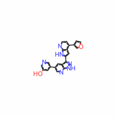 Oc1cncc(-c2cnc3[nH]nc(-c4cc5c(-c6ccoc6)ccnc5[nH]4)c3c2)c1